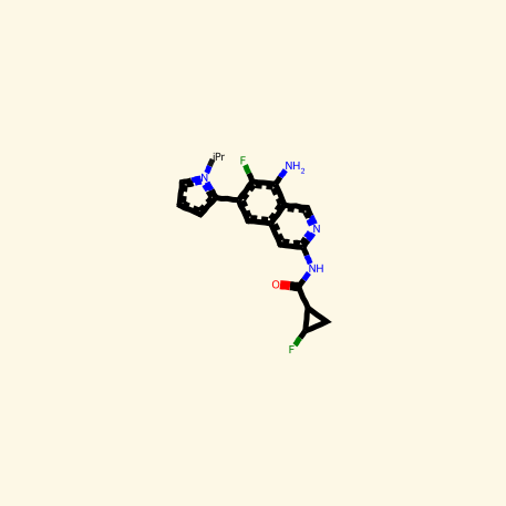 CC(C)n1cccc1-c1cc2cc(NC(=O)C3CC3F)ncc2c(N)c1F